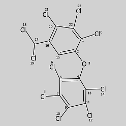 Clc1c(Oc2c(Cl)c(Cl)c(Cl)c(Cl)c2Cl)cc(C(Cl)Cl)c(Cl)c1Cl